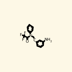 Nc1cccc(CCN(C(=O)C(F)(F)F)c2ccccc2)c1